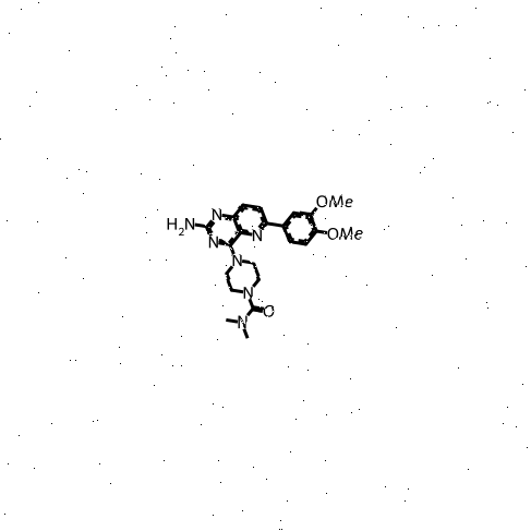 COc1ccc(-c2ccc3nc(N)nc(N4CCN(C(=O)N(C)C)CC4)c3n2)cc1OC